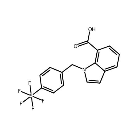 O=C(O)c1cccc2ccn(Cc3ccc(S(F)(F)(F)(F)F)cc3)c12